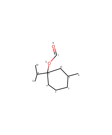 CC1CCCC(OC=O)(C(C)C)C1